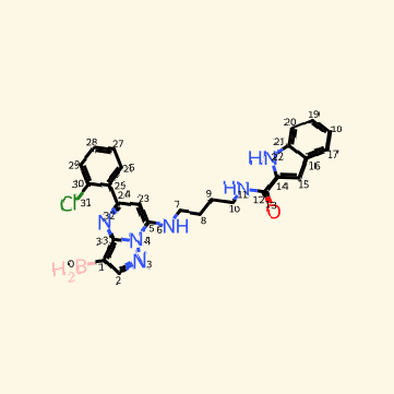 Bc1cnn2c(NCCCCNC(=O)c3cc4ccccc4[nH]3)cc(-c3ccccc3Cl)nc12